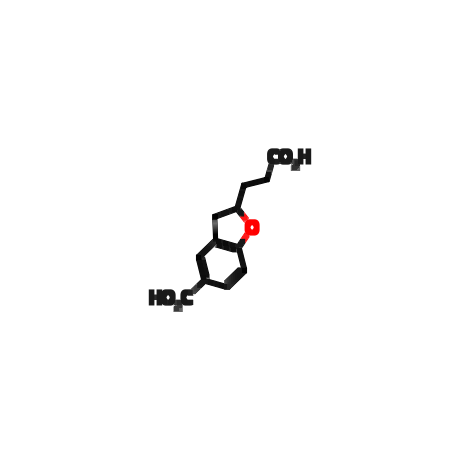 O=C(O)CCC1Cc2cc(C(=O)O)ccc2O1